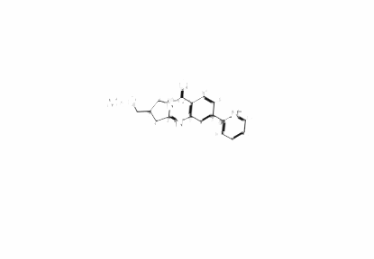 COCC1Cc2nc3cc(-c4ccccn4)ccc3c(=O)n2C1